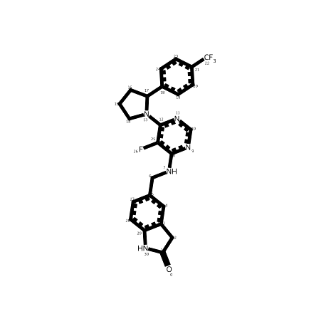 O=C1Cc2cc(CNc3ncnc(N4CCCC4c4ccc(C(F)(F)F)cc4)c3F)ccc2N1